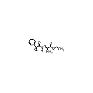 CCOC(=O)C(N)=NNC(=O)C1(c2ccccc2)CC1